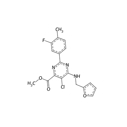 COC(=O)c1nc(-c2ccc(C)c(F)c2)nc(NCc2ccco2)c1Cl